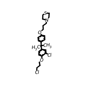 CC(C)(c1ccc(OCCCN2CCSCC2)cc1)c1ccc(OCCCCl)c(Cl)c1